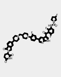 O=C1CCC(N2Cc3cc(C4CCN(CC5CCN(c6ccc(-c7cnc8[nH]cc(C(=O)c9c(F)ccc(N[S+]([O-])N%10CCC(F)C%10)c9F)c8c7)cc6F)CC5)CC4)ccc3C2=O)C(=O)N1